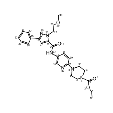 CCOC(=O)N1CCN(c2ccc(NC(=O)c3cc(-c4ccccc4)nn3CCOC)cn2)CC1